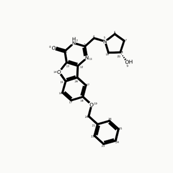 O=c1[nH]c(CN2CC[C@H](O)C2)nc2c1oc1ccc(OCc3ccccc3)cc12